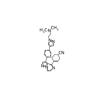 CN(C)CCn1cc(-c2ccc(-c3cnn4ccnc(C5=CCC(C#N)CC5)c34)cc2)cn1